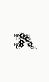 CCC1(O)CCc2ccc(Nc3nc(Nc4ccc(N5CCN(C)CC5)nc4)ncc3C#N)cc21